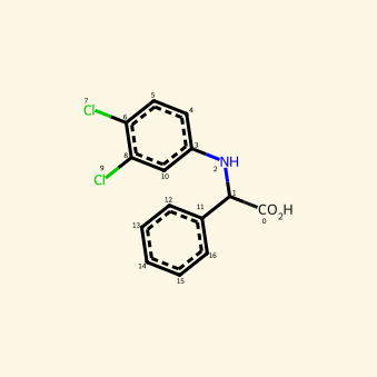 O=C(O)C(Nc1ccc(Cl)c(Cl)c1)c1ccccc1